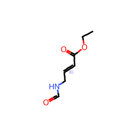 CCOC(=O)/C=C/CNC=O